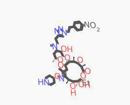 CC[C@H]1OC(=O)[C@H](C)C(=O)[C@H](C)[C@@H](O[C@@H]2O[C@H](C)C[C@H](N(C)CCc3cn(CCc4ccc([N+](=O)[O-])cc4)nn3)[C@H]2O)[C@@]2(C)C[C@@H](CO2)/C(=N\OC2CCNCC2)[C@H](C)[C@@H](O)[C@]1(C)O